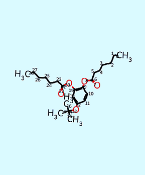 CCCCCCC(=O)Oc1ccc(OC(C)(C)C)cc1OC(=O)CCCCCC